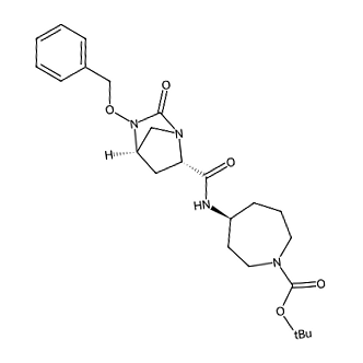 CC(C)(C)OC(=O)N1CCC[C@H](NC(=O)[C@@H]2C[C@@H]3CN2C(=O)N3OCc2ccccc2)CC1